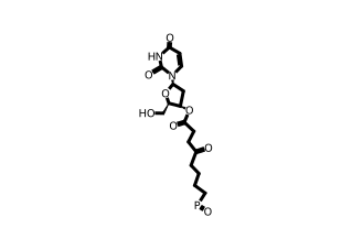 O=PCCCCC(=O)CCC(=O)O[C@@H]1C[C@H](n2ccc(=O)[nH]c2=O)O[C@@H]1CO